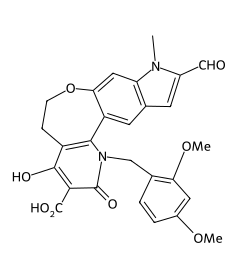 COc1ccc(Cn2c3c(c(O)c(C(=O)O)c2=O)CCOc2cc4c(cc2-3)cc(C=O)n4C)c(OC)c1